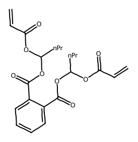 C=CC(=O)OC(CCC)OC(=O)c1ccccc1C(=O)OC(CCC)OC(=O)C=C